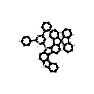 c1ccc(-c2cc(-n3c4ccc5oc6ccccc6c5c4c4ccc5c(c43)-c3ccccc3C53c4ccccc4-c4ccccc43)nc(-c3ccccc3)n2)cc1